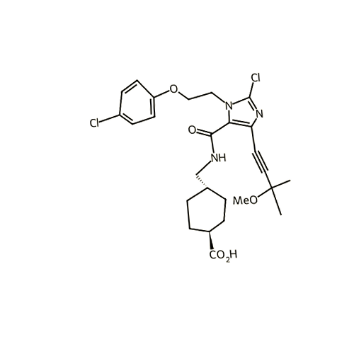 COC(C)(C)C#Cc1nc(Cl)n(CCOc2ccc(Cl)cc2)c1C(=O)NC[C@H]1CC[C@H](C(=O)O)CC1